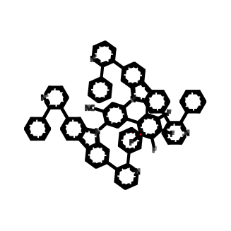 N#Cc1cc(-n2c3cc(-c4cccnc4-c4ccccc4)ccc3c3ccc(-c4cccnc4-c4ccccc4)cc32)c(-c2c(F)c(F)c(F)c(F)c2F)cc1-n1c2cc(-c3cccnc3-c3ccccc3)ccc2c2ccc(-c3cccnc3-c3ccccc3)cc21